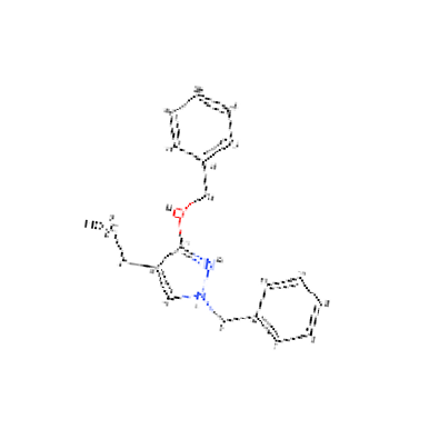 O=C(O)Cc1cn(Cc2ccccc2)nc1OCc1ccccc1